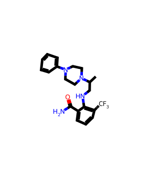 CC(CNc1c(C(N)=O)cccc1C(F)(F)F)N1CCN(c2ccccc2)CC1